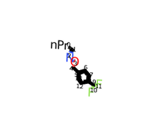 CCCC=NOCc1ccc(C(F)F)cc1